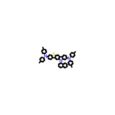 Cc1ccc(N(c2ccc(C)cc2)c2ccc3c(c2)sc2cc4c5ccc(N(c6ccc(C)cc6)c6ccc(C)cc6)cc5n(-c5cccc6ccccc56)c4cc23)cc1